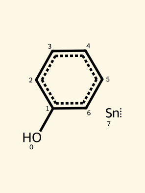 Oc1ccccc1.[Sn]